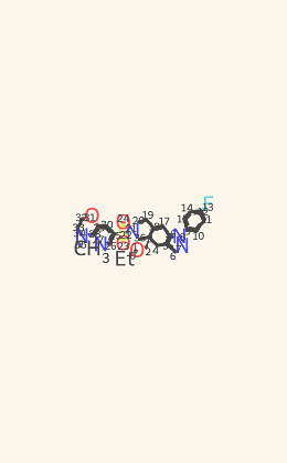 CCOC[C@]12Cc3cnn(-c4ccc(F)cc4)c3C=C1CCN(S(=O)(=O)c1cnc3c(c1)OCCN3C)C2